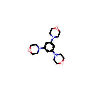 c1c(N2CCOCC2)cc(N2CCOCC2)cc1N1CCOCC1